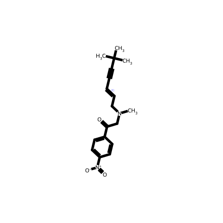 CN(C/C=C/C#CC(C)(C)C)CC(=O)c1ccc([N+](=O)[O-])cc1